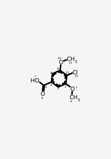 COc1cc(C(=O)O)cc(OC)c1Cl